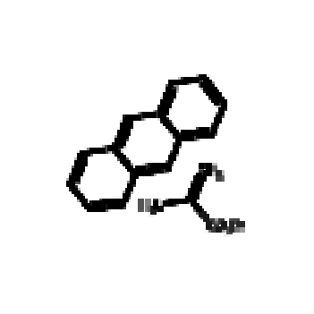 C=C(C)C(=O)OCC.c1ccc2cc3ccccc3cc2c1